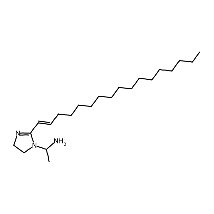 CCCCCCCCCCCCCCC/C=C/C1=NCCN1C(C)N